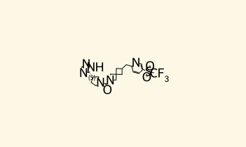 O=C(N1CC[C@H](c2ncn[nH]2)C1)N1CC2(CC(Cc3ccc(S(=O)(=O)C(F)(F)F)cn3)C2)C1